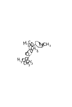 CN1CCC(COC(C)(C)CC2COC(COC(C)(C)C)CO2)CC1